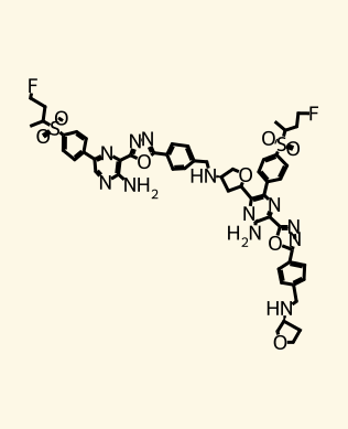 CC(CCF)S(=O)(=O)c1ccc(-c2cnc(N)c(-c3nnc(-c4ccc(CN[C@H]5COC(c6nc(N)c(-c7nnc(-c8ccc(CN[C@H]9CCOC9)cc8)o7)nc6-c6ccc(S(=O)(=O)C(C)CCF)cc6)C5)cc4)o3)n2)cc1